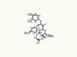 COC1C[C@H](N(C)C(=O)Cc2ccc(Cl)c(Cl)c2)C[C@]2(c3cccc(OC(C)=O)c3)CCN(C)C[C@@H]12